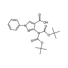 CC(C)(C)OC(=O)N(C(=O)OC(C)(C)C)c1nn(-c2ccccc2)cc1C(=O)O